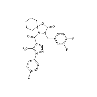 O=C1OC2(CCCCC2)N(C(=O)c2cnn(-c3ccc(Cl)cc3)c2C(F)(F)F)N1Cc1ccc(F)c(F)c1